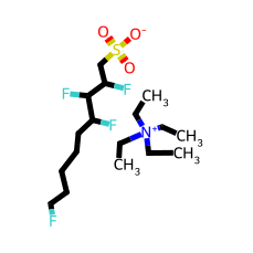 CC[N+](CC)(CC)CC.O=S(=O)([O-])CC(F)C(F)C(F)CCCCCF